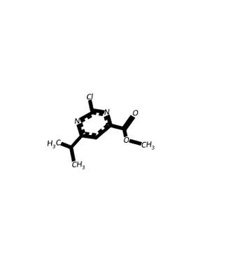 COC(=O)c1cc(C(C)C)nc(Cl)n1